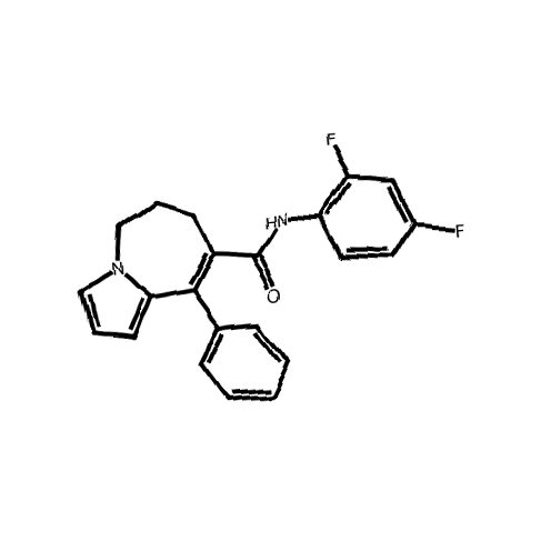 O=C(Nc1ccc(F)cc1F)C1=C(c2ccccc2)c2cccn2CCC1